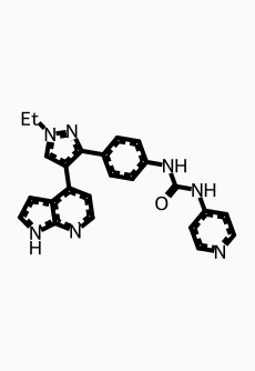 CCn1cc(-c2ccnc3[nH]ccc23)c(-c2ccc(NC(=O)Nc3ccncc3)cc2)n1